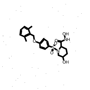 Cc1cccc(C)c1COc1ccc(S(=O)(=O)N2CC(O)CCC2C(=O)NO)cc1